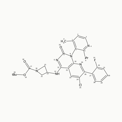 Cc1ccnc(C(C)C)c1-n1c(=O)nc(NC2CN(C(=O)OC(C)(C)C)C2)c2cc(Cl)c(-c3ccccc3F)nc21